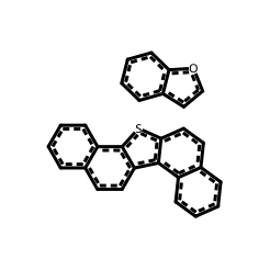 c1ccc2c(c1)ccc1c2sc2ccc3ccccc3c21.c1ccc2occc2c1